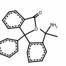 CC(C)(N)c1ccccc1C1(c2ccccc2)OC(=O)c2ccccc21